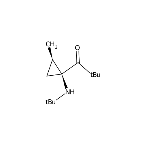 C[C@@H]1C[C@@]1(NC(C)(C)C)C(=O)C(C)(C)C